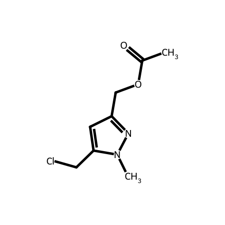 CC(=O)OCc1cc(CCl)n(C)n1